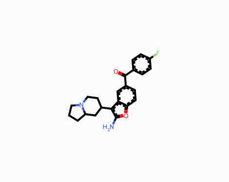 Nc1oc2ccc(C(=O)c3ccc(F)cc3)cc2c1C1CCN2CCCC2C1